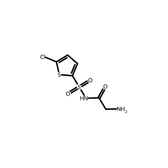 NCC(=O)NS(=O)(=O)c1ccc(Cl)s1